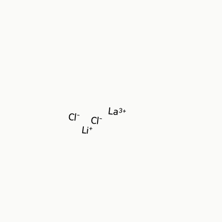 [Cl-].[Cl-].[La+3].[Li+]